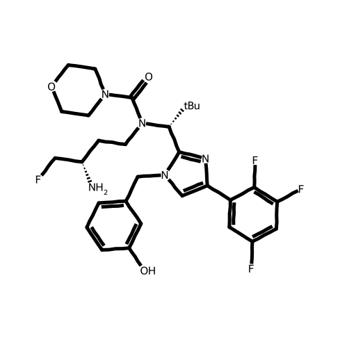 CC(C)(C)[C@H](c1nc(-c2cc(F)cc(F)c2F)cn1Cc1cccc(O)c1)N(CC[C@H](N)CF)C(=O)N1CCOCC1